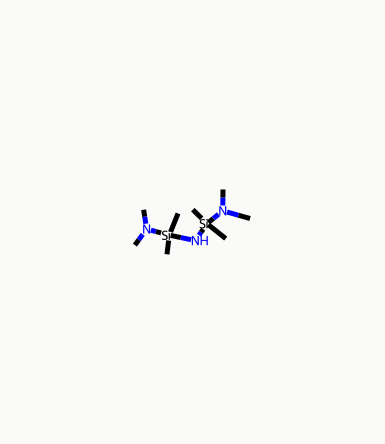 CN(C)[Si](C)(C)N[Si](C)(C)N(C)C